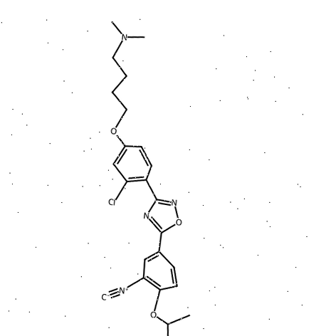 [C-]#[N+]c1cc(-c2nc(-c3ccc(OCCCCN(C)C)cc3Cl)no2)ccc1OC(C)C